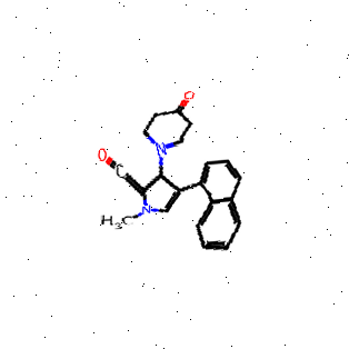 CN1C=C(c2cccc3ccccc23)C(N2CCC(=O)CC2)C1=C=O